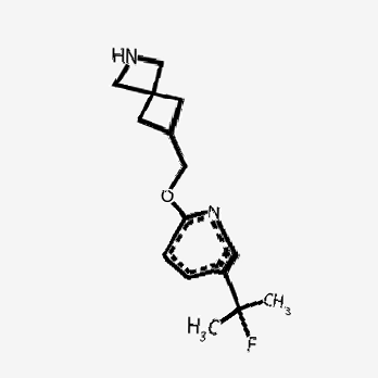 CC(C)(F)c1ccc(OCC2CC3(CNC3)C2)nc1